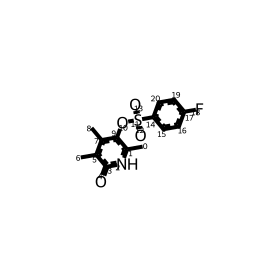 Cc1[nH]c(=O)c(C)c(C)c1OS(=O)(=O)c1ccc(F)cc1